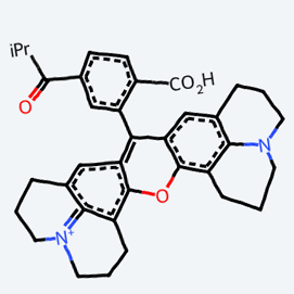 CC(C)C(=O)c1ccc(C(=O)O)c(C2=c3cc4c5c(c3Oc3c2cc2c6c3CCCN6CCC2)CCC[N+]=5CCC4)c1